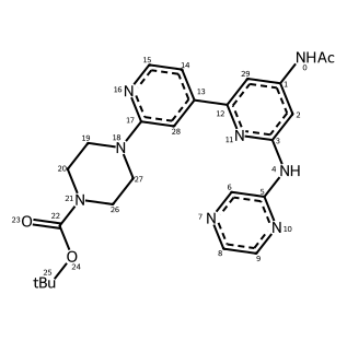 CC(=O)Nc1cc(Nc2cnccn2)nc(-c2ccnc(N3CCN(C(=O)OC(C)(C)C)CC3)c2)c1